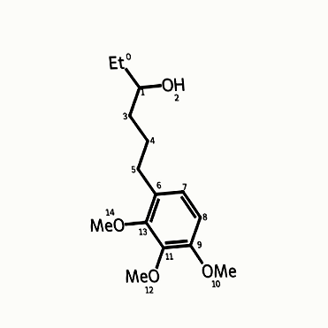 CCC(O)CCCc1ccc(OC)c(OC)c1OC